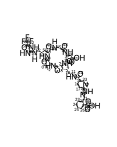 CC(C)[C@H]1NC(=O)/C(=C/CCCNC(=O)c2ccc(N/N=C/c3ccccc3S(=O)(=O)O)nc2)NC(=O)/C(=C\C(=O)O)NC(=O)CNC(=O)/C(=C/CCNC(=N)NC(=O)C(F)(F)F)NC1=O